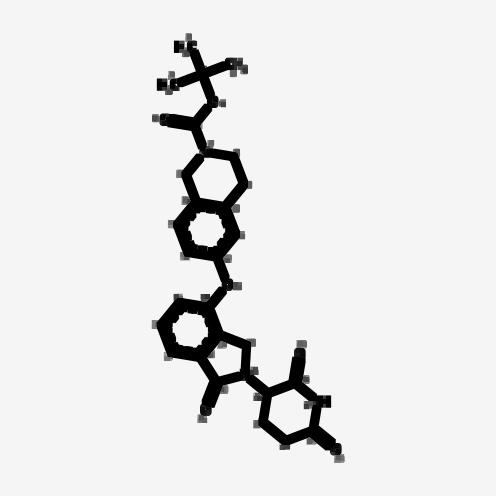 CC(C)(C)OC(=O)N1CCc2cc(Oc3cccc4c3CN(C3CCC(=O)NC3=O)C4=O)ccc2C1